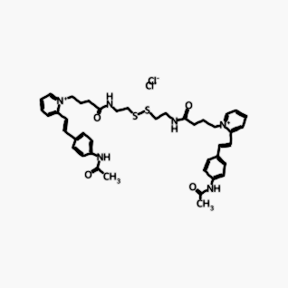 CC(=O)Nc1ccc(/C=C/c2cccc[n+]2CCCC(=O)NCCSSCCNC(=O)CCC[n+]2ccccc2/C=C/c2ccc(NC(C)=O)cc2)cc1.[Cl-].[Cl-]